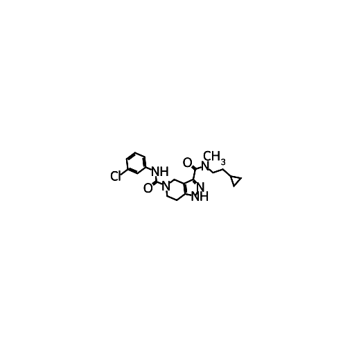 CN(CCC1CC1)C(=O)c1n[nH]c2c1CN(C(=O)Nc1cccc(Cl)c1)CC2